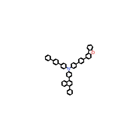 c1ccc(-c2ccc(-c3ccc(N(c4ccc(-c5ccc(-c6ccc7oc8ccccc8c7c6)cc5)cc4)c4ccc(-c5ccc(-c6ccccc6)c6ccccc56)cc4)cc3)cc2)cc1